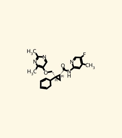 Cc1ncc(OC[C@@]2(C3C=CC=CC3)C[C@H]2C(=O)Nc2cc(C)c(F)cn2)c(C)n1